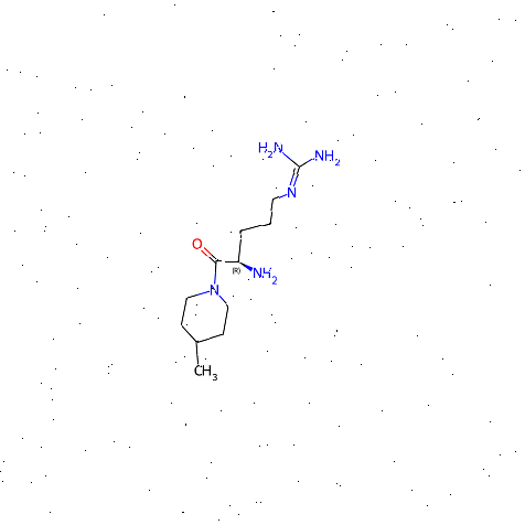 CC1CCN(C(=O)[C@H](N)CCCN=C(N)N)CC1